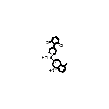 Cc1cccc2c1CC[C@H](CN1CCC(c3c(Cl)cccc3Cl)CC1)C[C@@H]2O.Cl